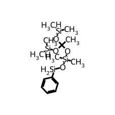 C[SiH](C)OC(C)(O[SiH](C)C)O[Si](C)(C)O[SiH2]c1ccccc1